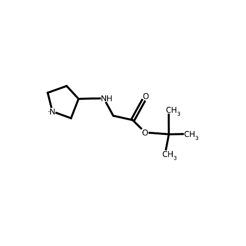 CC(C)(C)OC(=O)CNC1CC[N]C1